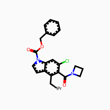 CC(C)Cc1c(C(=O)N2CCC2)c(Cl)cc2c1ccn2C(=O)OCc1ccccc1